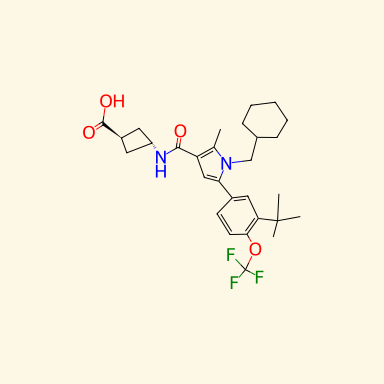 Cc1c(C(=O)N[C@H]2C[C@H](C(=O)O)C2)cc(-c2ccc(OC(F)(F)F)c(C(C)(C)C)c2)n1CC1CCCCC1